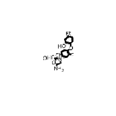 CCc1ccc(Oc2ccc(N3CC(N)OC3(C)C=O)cc2F)c(O)c1